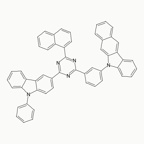 c1ccc(-n2c3ccccc3c3cc(-c4nc(-c5cccc(-n6c7ccccc7c7cc8ccccc8cc76)c5)nc(-c5cccc6ccccc56)n4)ccc32)cc1